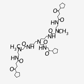 CN(CCNC(=O)CCC(=O)C1CCCC1)CC(=O)NCCCN(CCCNC(=O)CN(C)CCNC(=O)CCC(=O)C1CCCC1)CC(=O)NCC(=O)C1CCCC1